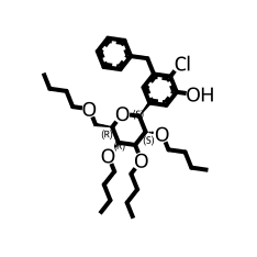 CCCCOC[C@H]1O[C@@H](c2cc(O)c(Cl)c(Cc3ccccc3)c2)[C@H](OCCCC)C(OCCCC)[C@@H]1OCCCC